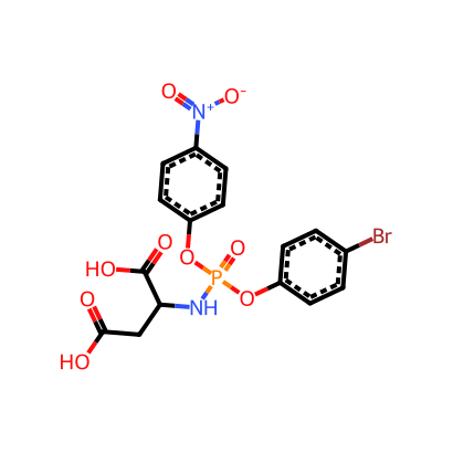 O=C(O)CC(NP(=O)(Oc1ccc(Br)cc1)Oc1ccc([N+](=O)[O-])cc1)C(=O)O